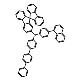 c1ccc(-c2ccc(-c3ccc(N(c4ccc(-c5cccc6ccccc56)cc4)c4ccc5c(c4)C4(c6ccccc6-c6ccccc64)c4ccccc4-5)cc3)cc2)cc1